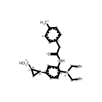 Cc1ccc(CC(=O)Nc2cc([C@H]3C[C@H]3C(=O)O)ccc2N(CC(C)C)CC(C)C)cc1